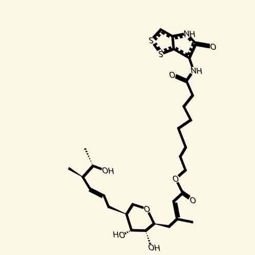 C/C(=C\C(=O)OCCCCCCCC(=O)Nc1c2sscc-2[nH]c1=O)C[C@@H]1OC[C@H](C/C=C/[C@@H](C)[C@H](C)O)[C@@H](O)[C@H]1O